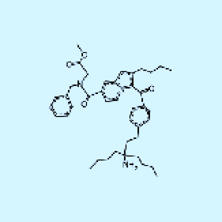 CCCCc1cc2cc(C(=O)N(CC(=O)OC)Cc3ccccc3)ccn2c1C(=O)c1ccc(CCC(N)(CCCC)CCCC)cc1